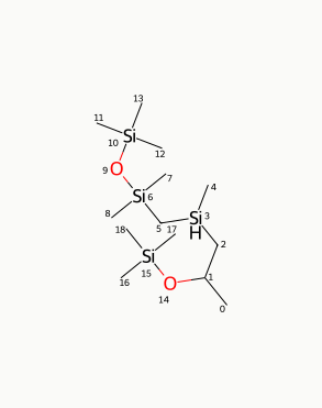 CC(C[SiH](C)C[Si](C)(C)O[Si](C)(C)C)O[Si](C)(C)C